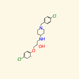 O[C@@H](CNC1CCN(Cc2ccc(Cl)cc2)CC1)COC1=CC=C(Cl)C[CH]1